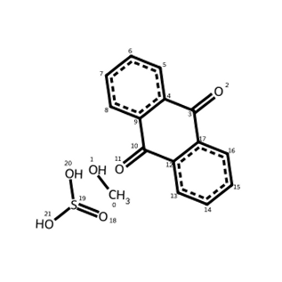 CO.O=C1c2ccccc2C(=O)c2ccccc21.O=S(O)O